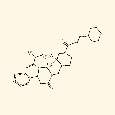 CN(C)C(=O)C1CN(CC2CCN(C(=O)CCC3CCCCC3)CC2(C)C)C(=O)CC1c1ccccc1